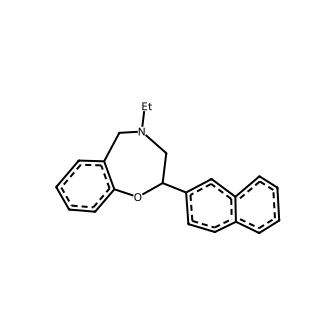 CCN1Cc2ccccc2OC(c2ccc3ccccc3c2)C1